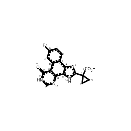 O=C(O)C1(c2nc3c4ccc(F)cc4c4c(=O)[nH]cnc4c3[nH]2)CC1